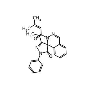 CCC1=NN(c2ccccc2)C(=O)C12c1ccccc1C=NN2C(=O)C=C(C)C